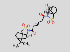 CC1(C)C2CCC13CS(=O)(=O)N(C(=O)C/C=C/CC(=O)N1[C@H]4CC56C(CCC45CS1(=O)=O)C6(C)C)[C@H]3C2